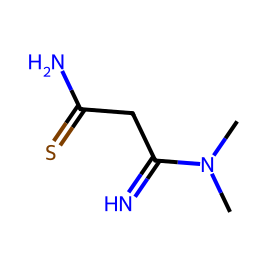 CN(C)C(=N)CC(N)=S